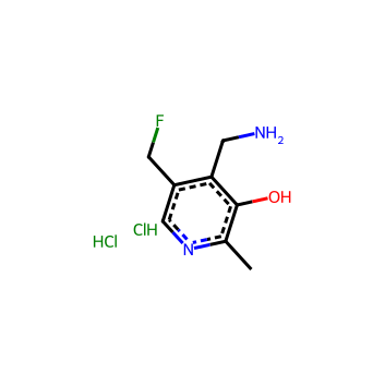 Cc1ncc(CF)c(CN)c1O.Cl.Cl